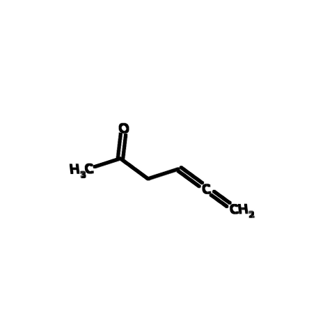 C=C=CCC(C)=O